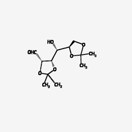 CC1(C)O[C@@H]([C@H](O)[C@H]2COC(C)(C)O2)[C@@H](C=O)O1